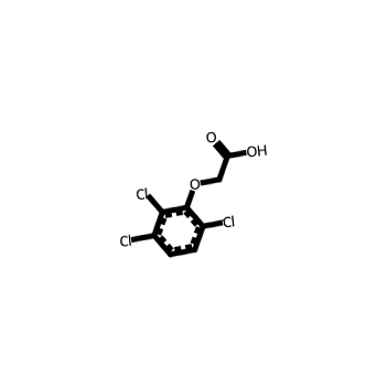 O=C(O)COc1c(Cl)ccc(Cl)c1Cl